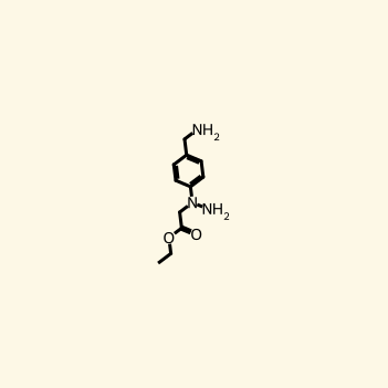 CCOC(=O)CN(N)c1ccc(CN)cc1